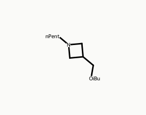 CCCCCN1CC(COCC(C)C)C1